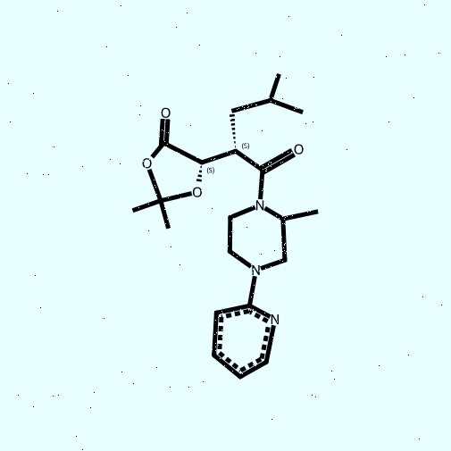 CC(C)C[C@H](C(=O)N1CCN(c2ccccn2)CC1C)[C@@H]1OC(C)(C)OC1=O